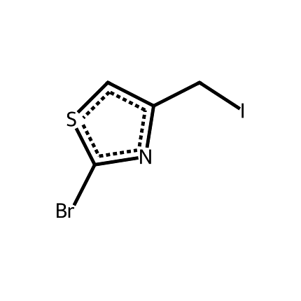 Brc1nc(CI)cs1